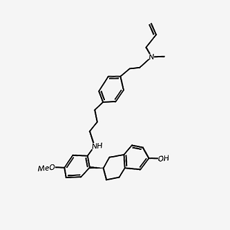 C=CCN(C)CCc1ccc(CCCNc2cc(OC)ccc2[C@@H]2CCc3cc(O)ccc3C2)cc1